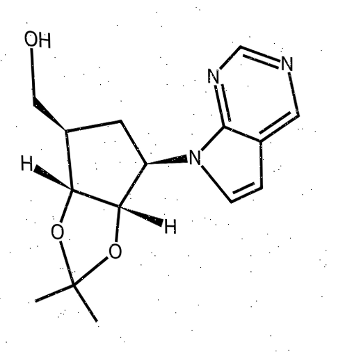 CC1(C)O[C@@H]2[C@@H](CO)C[C@@H](n3ccc4cncnc43)[C@@H]2O1